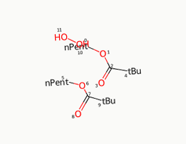 CCCCCOC(=O)C(C)(C)C.CCCCCOC(=O)C(C)(C)C.OO